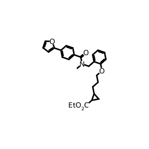 CCOC(=O)C1CC1CCCOc1ccccc1CN(C)C(=O)c1ccc(-c2ccco2)cc1